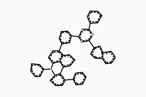 c1ccc(-c2nc(-c3cccc(-c4ccc5c6c(cccc46)-c4c(-c6ccccc6)cccc4N5c4ccccc4)c3)nc(-c3ccc4ccccc4c3)n2)cc1